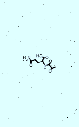 CC(=O)C(=O)N[C@@H](CCC(N)=O)C(=O)O